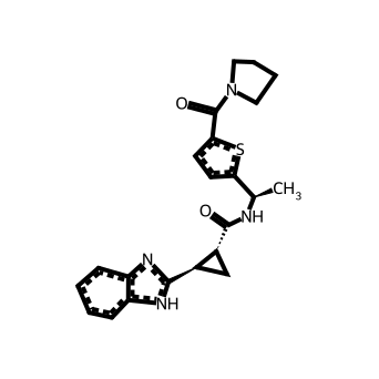 C[C@@H](NC(=O)[C@@H]1C[C@H]1c1nc2ccccc2[nH]1)c1ccc(C(=O)N2CCCC2)s1